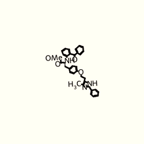 COC(=O)[C@H](Cc1ccc(OCCc2[nH]c(-c3ccccc3)nc2C)cc1)Nc1ccccc1C(=O)c1ccccc1